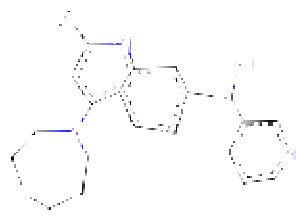 Cc1cc(N2CCCCCC2)c2ccc(C(N)c3cccnc3)cc2n1